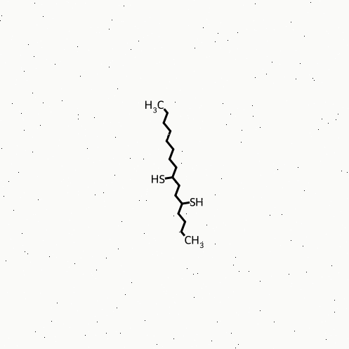 CCCCCCCCC(S)CCC(S)CCCC